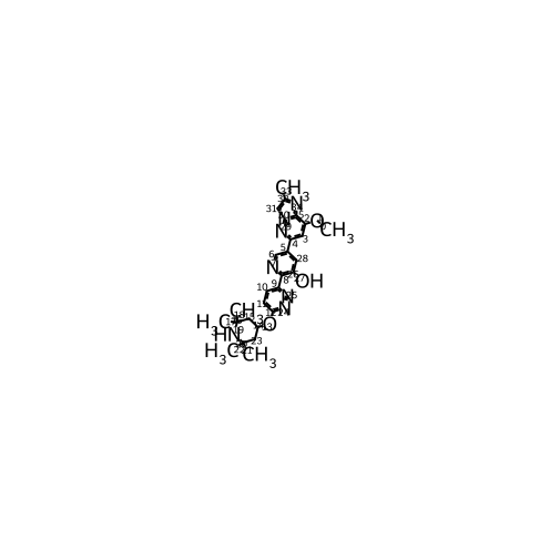 COc1cc(-c2cnc(-c3ccc(OC4CC(C)(C)NC(C)(C)C4)nn3)c(O)c2)nn2cc(C)nc12